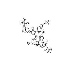 COCc1cn2c(Nc3cc([C@H]4C[C@@H](F)[C@@H](OC(=O)NC(C)C)C4)[nH][n+]3-c3cc4nc(OCC(F)(F)F)cn4c(Nc4cc([C@H]5CC[C@@H](OC(=O)NC(C)C)[C@@H]5F)[nH]n4)n3)nc(C3CC3)cc2n1